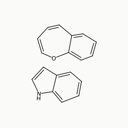 C1=COc2ccccc2C=C1.c1ccc2[nH]ccc2c1